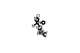 N#Cc1c(-c2ncc(S(=O)(=O)NC(CF)CF)cn2)n(C2CCCC2)c2cc(Cl)ncc12